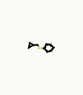 c1ccc(SCC2CC2)cc1